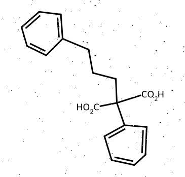 O=C(O)C(CCCc1ccccc1)(C(=O)O)c1ccccc1